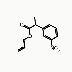 C=CCOC(=O)C(C)c1cccc([N+](=O)[O-])c1